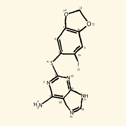 Nc1nc(Sc2cc3c(cc2I)OCO3)nc2[nH]cnc12